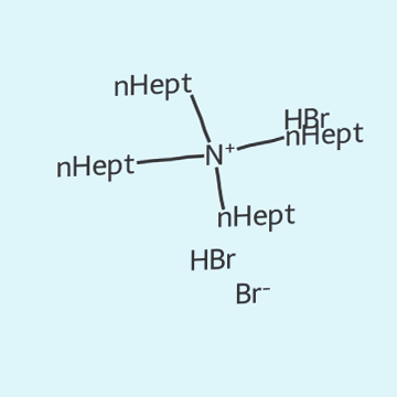 Br.Br.CCCCCCC[N+](CCCCCCC)(CCCCCCC)CCCCCCC.[Br-]